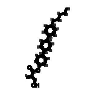 C=C(CO)C(=O)Oc1ccc(-c2ccc(-c3ccc(CCCCC)cc3)cc2)cc1